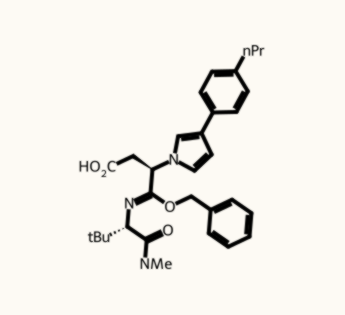 CCCc1ccc(-c2ccn([C@H](CC(=O)O)C(=N[C@H](C(=O)NC)C(C)(C)C)OCc3ccccc3)c2)cc1